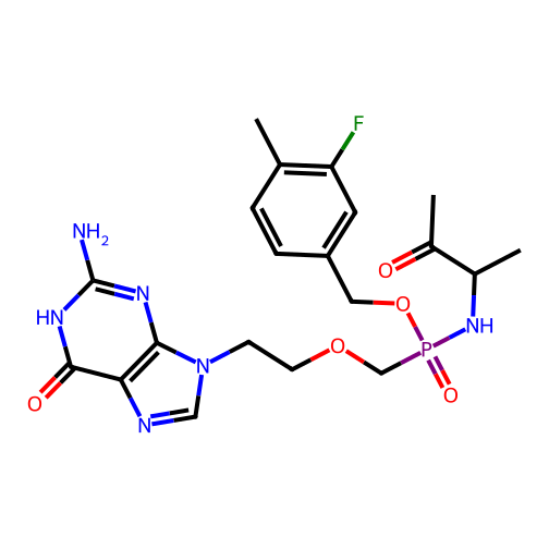 CC(=O)C(C)NP(=O)(COCCn1cnc2c(=O)[nH]c(N)nc21)OCc1ccc(C)c(F)c1